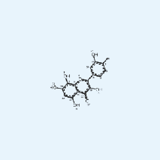 Cc1ccc(-c2oc3c(O)c(O)cc(O)c3c(=O)c2O)cc1O